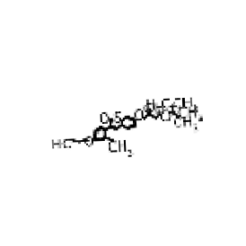 CCc1cc(OCCCO)ccc1C1=CC2C=CC(OCC(O)CCOC(C(C)C)C(C)C)=CC2SC1=O